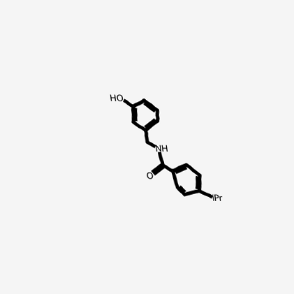 CC(C)c1ccc(C(=O)NCc2cccc(O)c2)cc1